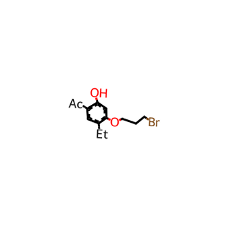 CCc1cc(C(C)=O)c(O)cc1OCCCBr